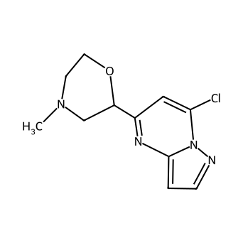 CN1CCOC(c2cc(Cl)n3nccc3n2)C1